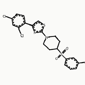 O=S(=O)(c1cccc(F)c1)C1CCN(c2nc(-c3ccc(Cl)cc3Cl)cs2)CC1